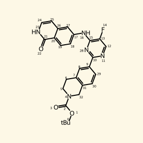 CC(C)(C)OC(=O)N1CCc2cc(-c3ncc(F)c(Nc4ccc5c(=O)[nH]ccc5c4)n3)ccc2C1